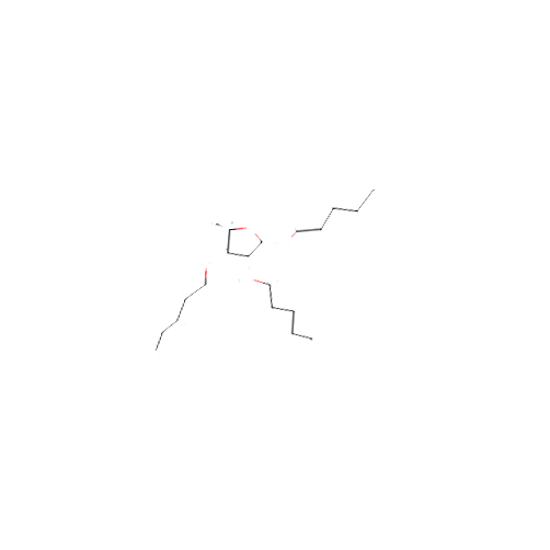 CCCCCO[C@H]1O[C@H](C)[C@@H](OCCCCC)[C@H]1OCCCCC